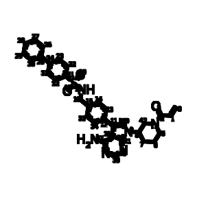 C=CC(=O)N1CCCC(n2nc(-c3ccc(CNS(=O)(=O)c4ccc(-c5ccccc5)cc4)cc3)c3c(N)ncnc32)C1